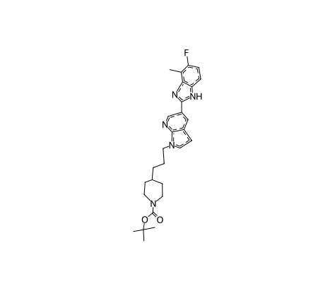 Cc1c(F)ccc2[nH]c(-c3cnc4c(ccn4CCCC4CCN(C(=O)OC(C)(C)C)CC4)c3)nc12